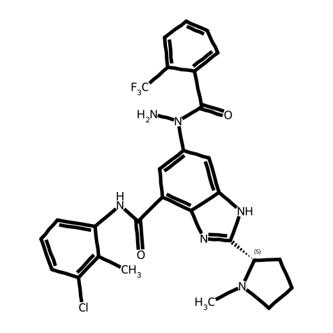 Cc1c(Cl)cccc1NC(=O)c1cc(N(N)C(=O)c2ccccc2C(F)(F)F)cc2[nH]c([C@@H]3CCCN3C)nc12